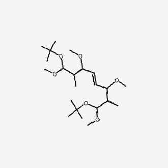 COC(C=CC(OC)C(C)C(OC)OC(C)(C)C)C(C)C(OC)OC(C)(C)C